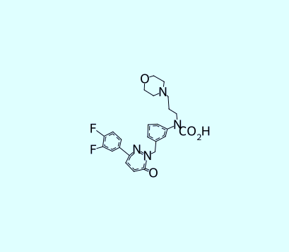 O=C(O)N(CCCN1CCOCC1)c1cccc(Cn2nc(-c3ccc(F)c(F)c3)ccc2=O)c1